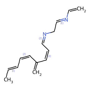 C=C/N=C/C/N=C\C=C/C(=C)/C=C\C=C\C